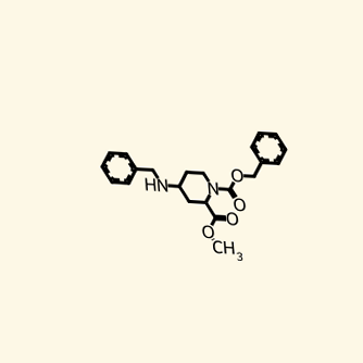 COC(=O)C1CC(NCc2ccccc2)CCN1C(=O)OCc1ccccc1